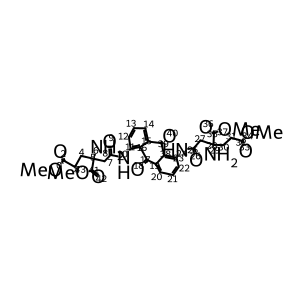 COC(=O)CC[C@](N)(CC(=O)Nc1cccc2c1C(=O)c1cccc(NC(=O)C[C@@](N)(CCC(=O)OC)C(=O)OC)c1C2=O)C(=O)OC